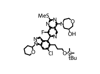 CSc1nc(N2CCOC[C@@H](O)C2)c2cnc(-c3c(CCCO[Si](C)(C)C(C)(C)C)c(Cl)cc4c3cnn4C3CCCCO3)c(F)c2n1